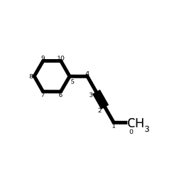 CCC#CCC1CCCCC1